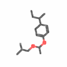 CCC(C)C1C=CC(OC(C)OCC(C)C)=CC1